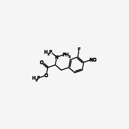 O=Nc1ccc(CC(C(=O)OP)N(P)P)cc1F